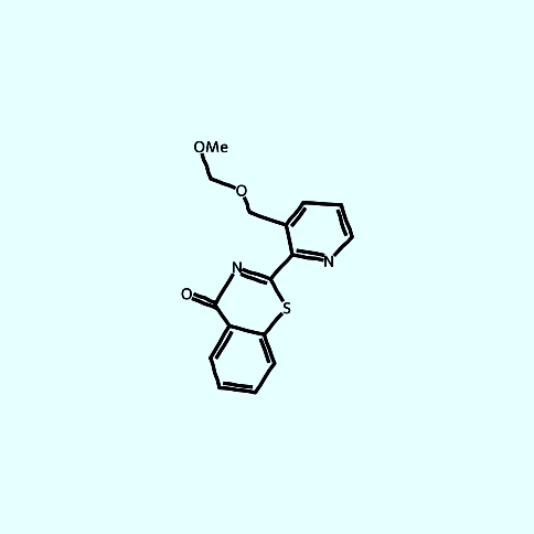 COCOCc1cccnc1-c1nc(=O)c2ccccc2s1